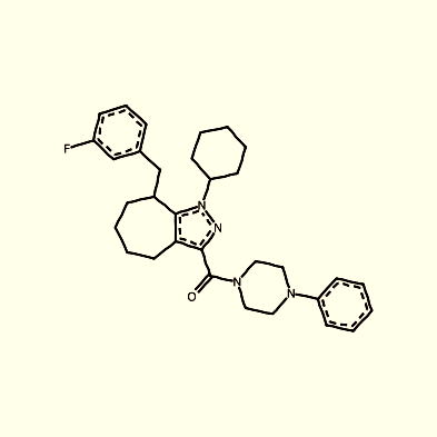 O=C(c1nn(C2CCCCC2)c2c1CCCCC2Cc1cccc(F)c1)N1CCN(c2ccccc2)CC1